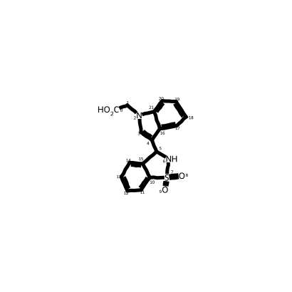 O=C(O)Cn1cc(C2NS(=O)(=O)c3ccccc32)c2ccccc21